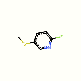 CSc1ccc(F)nc1